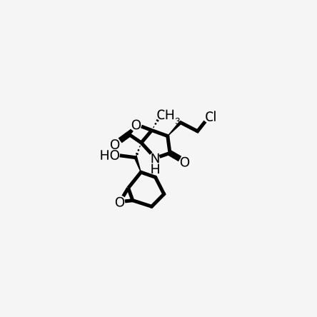 C[C@@]12OC(=O)[C@]1(C(O)[C@H]1CCCC3OC31)NC(=O)[C@@H]2CCCl